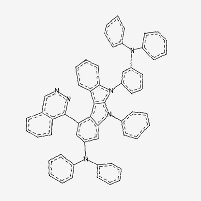 c1ccc(N(c2ccccc2)c2cccc(-n3c4ccccc4c4c5c(-c6nncc7ccccc67)cc(N(c6ccccc6)c6ccccc6)cc5n(-c5ccccc5)c43)c2)cc1